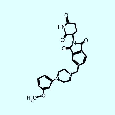 COc1cccc(N2CCN(Cc3ccc4c(c3)C(=O)N(C3CCC(=O)NC3=O)C4=O)CC2)c1